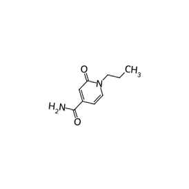 CCCn1ccc(C(N)=O)cc1=O